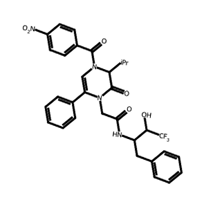 CC(C)C1C(=O)N(CC(=O)NC(Cc2ccccc2)C(O)C(F)(F)F)C(c2ccccc2)=CN1C(=O)c1ccc([N+](=O)[O-])cc1